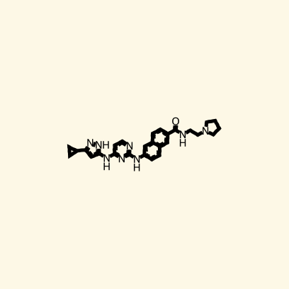 O=C(NCCN1CCCC1)c1ccc2cc(Nc3nccc(Nc4cc(C5CC5)n[nH]4)n3)ccc2c1